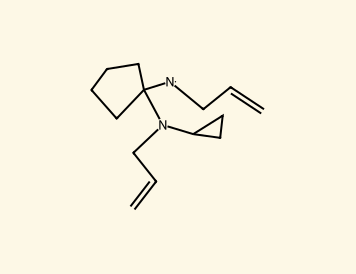 C=CC[N]C1(N(CC=C)C2CC2)CCCC1